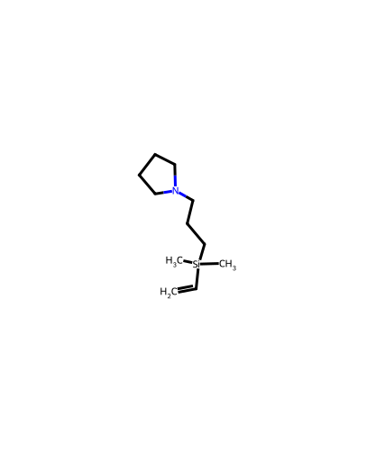 C=C[Si](C)(C)CCCN1CCCC1